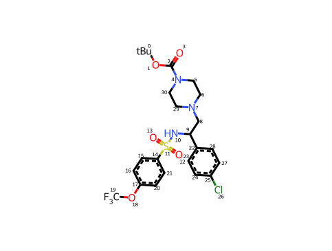 CC(C)(C)OC(=O)N1CCN(CC(NS(=O)(=O)c2ccc(OC(F)(F)F)cc2)c2ccc(Cl)cc2)CC1